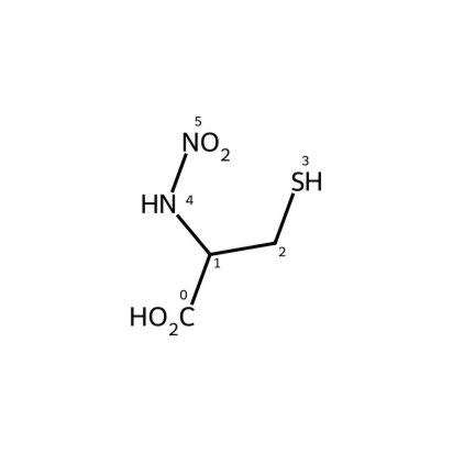 O=C(O)C(CS)N[N+](=O)[O-]